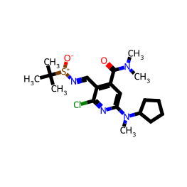 CN(C)C(=O)c1cc(N(C)C2CCCC2)nc(Cl)c1/C=N/[S+]([O-])C(C)(C)C